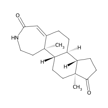 C[C@]12CCNC(=O)C=C1CC[C@@H]1[C@@H]2CC[C@]2(C)C(=O)CC[C@@H]12